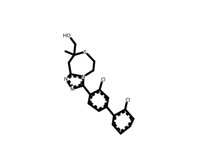 CC1(CO)Cc2nnc(-c3ccc(-c4ccccc4Cl)cc3Cl)n2CCS1